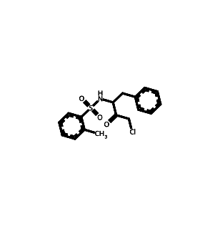 Cc1ccccc1S(=O)(=O)NC(Cc1ccccc1)C(=O)CCl